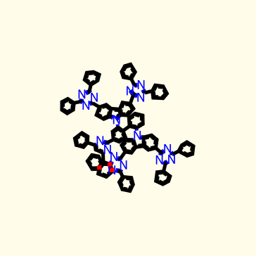 c1ccc(-c2cc(-c3ccccc3)nc(-c3ccc(-c4ccccc4-n4c5ccc(-c6nc(-c7ccccc7)nc(-c7ccccc7)n6)cc5c5cc(-c6nc(-c7ccccc7)nc(-c7ccccc7)n6)ccc54)c(-n4c5ccc(-c6nc(-c7ccccc7)nc(-c7ccccc7)n6)cc5c5cc(-c6nc(-c7ccccc7)nc(-c7ccccc7)n6)ccc54)c3)n2)cc1